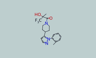 Cc1ccccc1-n1nccc1C1CCN(C(=O)C(C)(O)C(F)(F)F)CC1